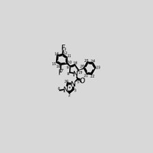 C[n+]1ccn(C(=O)N2CC(c3cc(F)ccc3F)=C[C@H]2c2ccccc2)c1